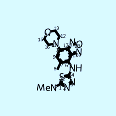 CNc1nnc(Nc2c(C)cc(N3CCOCC3)c3nonc23)s1